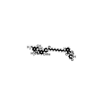 COc1cc2nc(C)nc(NC(C)c3cc(N)cc(C(F)(F)F)c3)c2cc1C1CCN(C(=O)CCCCCCCCCCNc2cccc3c2C(=O)N(C2CCC(=O)NC2=O)C3=O)CC1